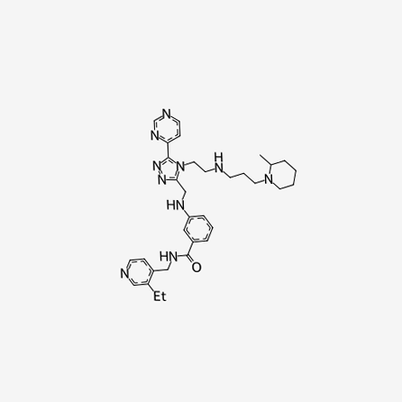 CCc1cnccc1CNC(=O)c1cccc(NCc2nnc(-c3ccncn3)n2CCNCCCN2CCCCC2C)c1